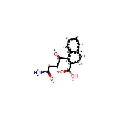 NC(=O)CCC(=O)c1c(C(=O)O)ccc2ccccc12